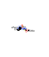 CCCCCN1c2cc(NS(=O)(=O)CC(F)(F)F)c(N=Nc3nnc(C(=O)OCCOC)s3)cc2CCC1CC